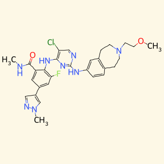 CNC(=O)c1cc(-c2cnn(C)c2)cc(F)c1Nc1nc(Nc2ccc3c(c2)CCN(CCOC)CC3)ncc1Cl